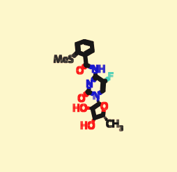 CSc1ccccc1C(=O)Nc1nc(=O)n([C@@H]2O[C@H](C)[C@@H](O)[C@H]2O)cc1F